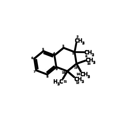 CC1(C)Cc2ccccc2C(C)(C)C1(C)C